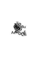 CC(=O)N1C=C(COc2ccc(F)c(F)c2)C2C1CCN2C(=O)C(NC(=O)C(C)N(C)C(=O)OC(C)(C)C)C(C)(C)C